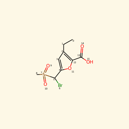 CCc1cc(C(Br)S(C)(=O)=O)oc1C(=O)O